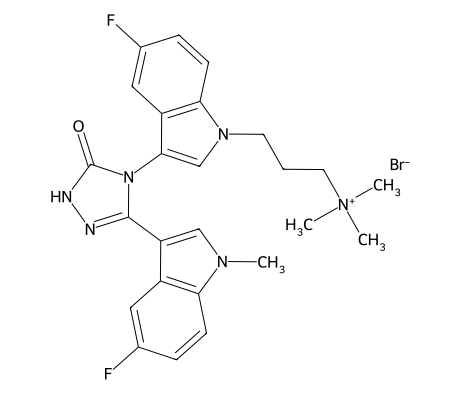 Cn1cc(-c2n[nH]c(=O)n2-c2cn(CCC[N+](C)(C)C)c3ccc(F)cc23)c2cc(F)ccc21.[Br-]